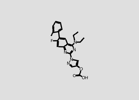 CCN(CC)c1nc(-n2cc(OC(=O)O)cn2)nc2cc(F)c(-c3ccccc3C)cc12